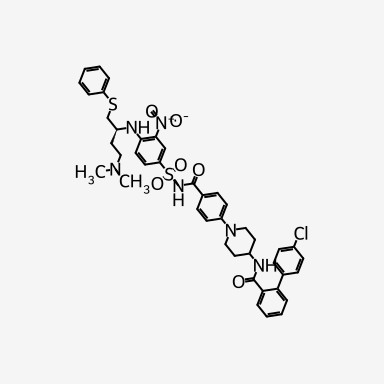 CN(C)CC[C@@H](CSc1ccccc1)Nc1ccc(S(=O)(=O)NC(=O)c2ccc(N3CCC(NC(=O)c4ccccc4-c4ccc(Cl)cc4)CC3)cc2)cc1[N+](=O)[O-]